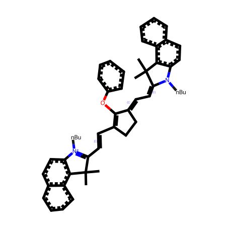 CCCCN1/C(=C/C=C2\CCC(/C=C/C3=[N+](CCCC)c4ccc5ccccc5c4C3(C)C)=C2Oc2ccccc2)C(C)(C)c2c1ccc1ccccc21